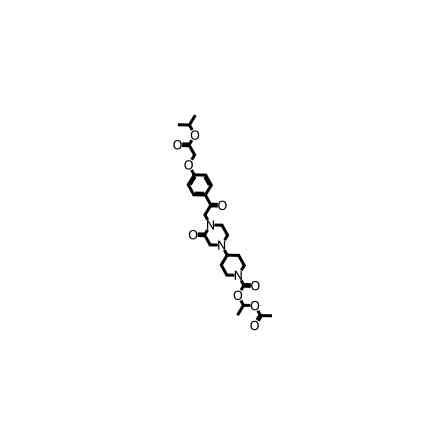 CC(=O)OC(C)OC(=O)N1CCC(N2CCN(CC(=O)c3ccc(OCC(=O)OC(C)C)cc3)C(=O)C2)CC1